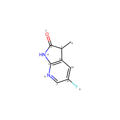 CC1C(=O)Nc2ncc(F)cc21